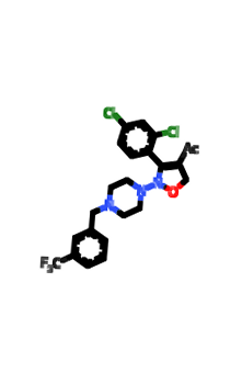 CC(=O)C1=C(c2ccc(Cl)cc2Cl)N(N2CCN(Cc3cccc(C(F)(F)F)c3)CC2)OC1